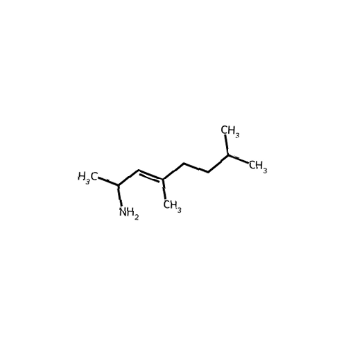 C/C(=C\C(C)N)CCC(C)C